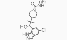 CCCNC(=O)N1CCC(C(C)(C)C(O)c2cc(Cl)cc3cn[nH]c23)CC1